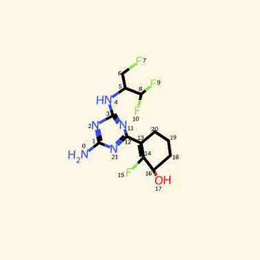 Nc1nc(NC(CF)C(F)F)nc(C2=C(F)C(O)CCC2)n1